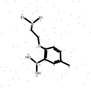 CCN(CC)CCOc1ccc(C)cc1B(O)O